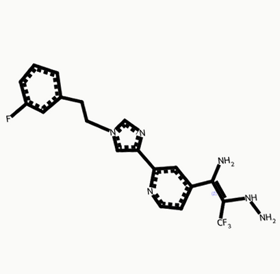 NN/C(=C(\N)c1ccnc(-c2cn(CCc3cccc(F)c3)cn2)c1)C(F)(F)F